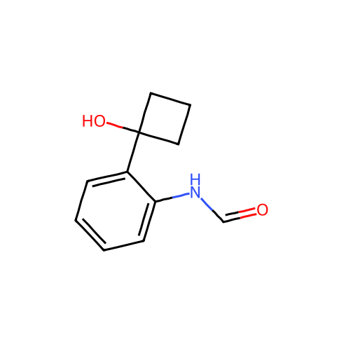 O=CNc1ccccc1C1(O)CCC1